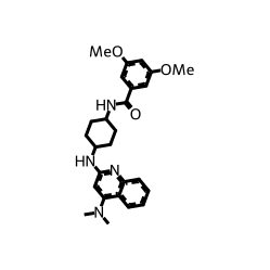 COc1cc(OC)cc(C(=O)NC2CCC(Nc3cc(N(C)C)c4ccccc4n3)CC2)c1